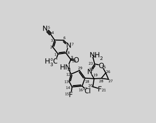 Cc1cc(C#N)cnc1C(=O)Nc1cc(F)c(Cl)c(C2(CF)N=C(N)OC3CC32)c1